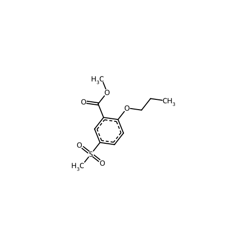 CCCOc1ccc(S(C)(=O)=O)cc1C(=O)OC